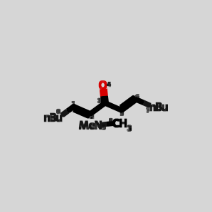 CCCCC=CC(=O)C=CCCCC.CNC